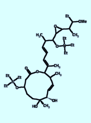 CCC(OC)C(C)C1OC1C(O[Si](CC)(CC)CC)C(C)/C=C/C=C(\C)C1OC(=O)CC(O[Si](CC)(CC)CC)CC[C@@](C)(O)[C@@H](O)/C=C/C1C